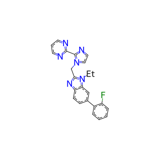 CCn1c(Cn2ccnc2-c2ncccn2)nc2ccc(-c3ccccc3F)cc21